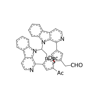 CCCCCCCCCCCC(n1c2ccccc2c2ccnc(-c3csc(CC=O)c3)c21)n1c2ccccc2c2ccnc(-c3csc(C(C)=O)c3)c21